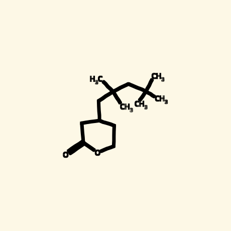 CC(C)(C)CC(C)(C)CC1CCOC(=O)C1